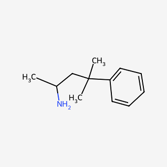 CC(N)CC(C)(C)c1ccccc1